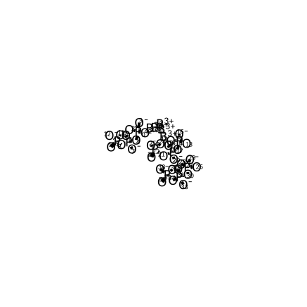 O=P([O-])([O-])OP(=O)([O-])OP(=O)([O-])[O-].O=P([O-])([O-])OP(=O)([O-])OP(=O)([O-])[O-].O=P([O-])([O-])OP(=O)([O-])OP(=O)([O-])[O-].[B+3].[B+3].[B+3].[B+3].[B+3]